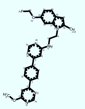 COc1cc(-c2ccc(-c3cc(NCCn4c(C)cc5ccc(OCF)cc54)ncn3)cc2)ncn1